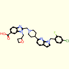 O=C(O)c1ccc2nc(CN3CCC(c4ccc5ccn(Cc6ccc(Cl)cc6F)c5n4)CC3)n(CC3CCO3)c2c1